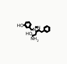 NC(O)Cc1c(Cc2ccccc2)ncn1Cc1cccc(O)c1